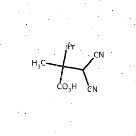 CC(C)C(C)(C(=O)O)C(C#N)C#N